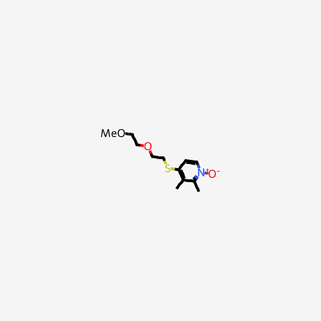 COCCOCCSc1cc[n+]([O-])c(C)c1C